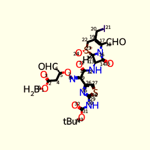 BOC(=O)C[C@@H](C=O)O/N=C(\C(=O)N[C@@H]1C(=O)N2C(C=O)=C(CI)C[S+]([O-])[C@H]12)c1csc(NC(=O)OC(C)(C)C)n1